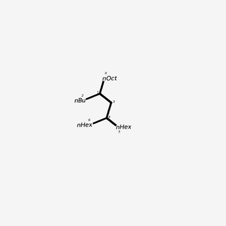 CCCCCCCCC(CCCC)CC(CCCCCC)CCCCCC